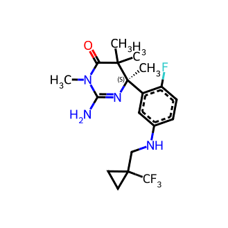 CN1C(=O)C(C)(C)[C@@](C)(c2cc(NCC3(C(F)(F)F)CC3)ccc2F)N=C1N